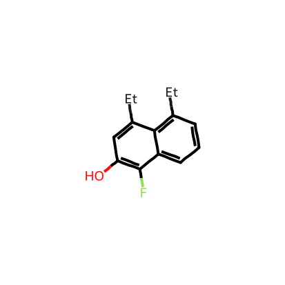 CCc1cccc2c(F)c(O)cc(CC)c12